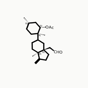 C=C1CC[C@@]2(CC=O)CC([C@@]3(C)CC[C@H](C)C[C@@H]3OC(C)=O)CC[C@]12C